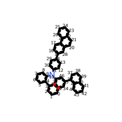 c1ccc(-c2ccccc2N(c2ccc(-c3ccc4c(ccc5ccccc54)c3)cc2)c2cccc(-c3cccc4ccccc34)c2)cc1